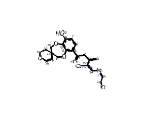 C=C(CC(=O)c1ccc(O)c2c1OCC1(CCOCC1)CO2)/C(Cl)=C\N=C/CCl